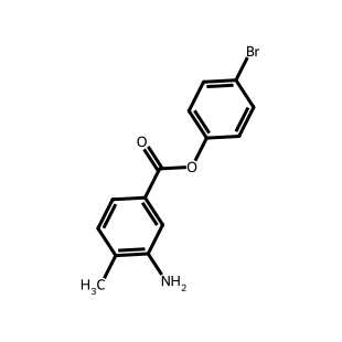 Cc1ccc(C(=O)Oc2ccc(Br)cc2)cc1N